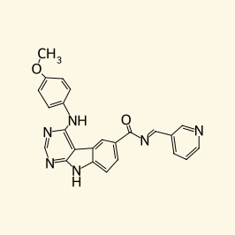 COc1ccc(Nc2ncnc3[nH]c4ccc(C(=O)N=Cc5cccnc5)cc4c23)cc1